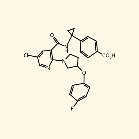 O=C(O)c1ccc(C2(NC(=O)c3cc(Cl)cnc3N3CCC(Oc4ccc(F)cc4)C3)CC2)cc1